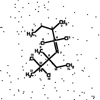 CCC(C)P(Cl)(Cl)=NC(C)(CC)[PH](C)(Cl)Cl